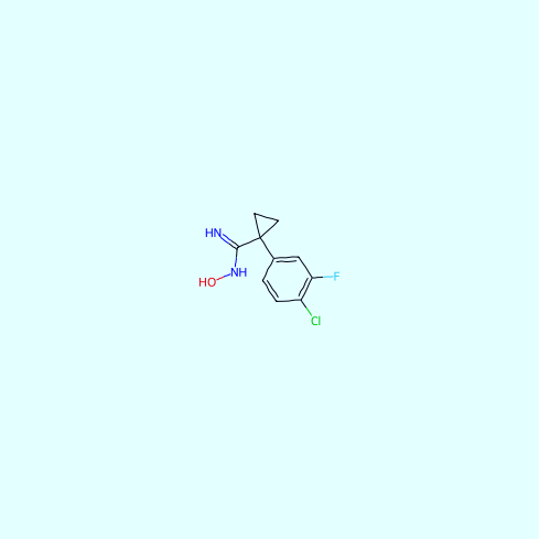 N=C(NO)C1(c2ccc(Cl)c(F)c2)CC1